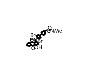 CNC(=O)OCc1ccc(-c2cc(Br)c(Nc3ccc(O)c4c3C(=O)c3ccccc3C4=O)c(Br)c2)cc1